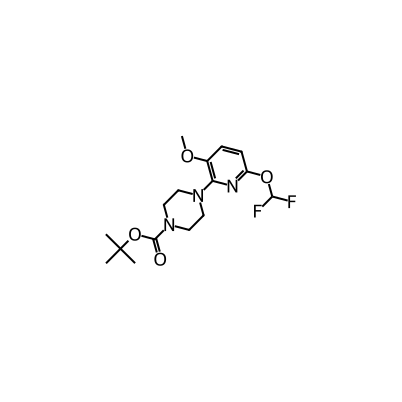 COc1ccc(OC(F)F)nc1N1CCN(C(=O)OC(C)(C)C)CC1